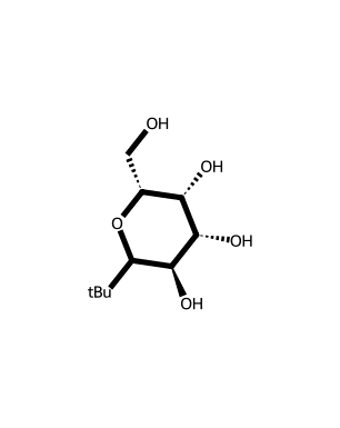 CC(C)(C)C1O[C@H](CO)[C@H](O)[C@H](O)[C@H]1O